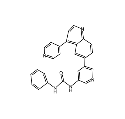 O=C(Nc1ccccc1)Nc1cncc(-c2ccc3nccc(-c4ccncc4)c3c2)c1